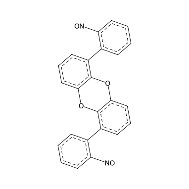 O=Nc1ccccc1-c1cccc2c1Oc1cccc(-c3ccccc3N=O)c1O2